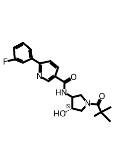 CC(C)(C)C(=O)N1CC(NC(=O)c2ccc(-c3cccc(F)c3)nc2)[C@@H](O)C1